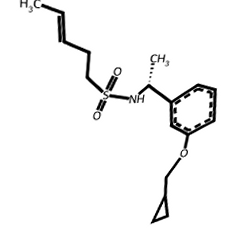 C/C=C/CCS(=O)(=O)N[C@H](C)c1cccc(OCC2CC2)c1